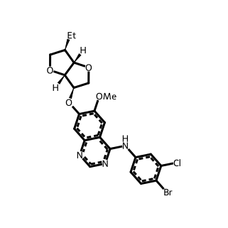 CC[C@@H]1CO[C@@H]2[C@H]1OC[C@H]2Oc1cc2ncnc(Nc3ccc(Br)c(Cl)c3)c2cc1OC